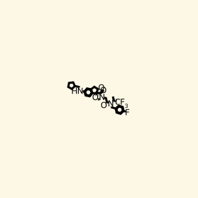 C[C@H](N(Cc1ccc(F)cc1)C(=O)CN1CO[C@]2(C(=O)Cc3cc(NCC4CCCC4)ccc32)C1=O)C(F)(F)F